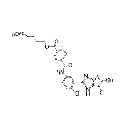 CCCCCCCCCCCCCCOC(=O)c1ccc(C(=O)Nc2ccc(Cl)c(-c3nn4nc(C(C)(C)C)c(Cl)c4[nH]3)c2)cc1